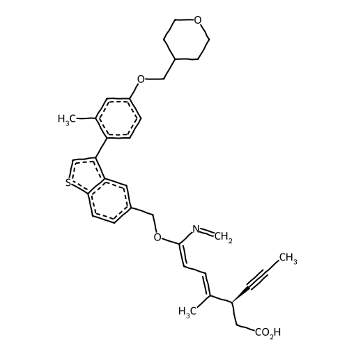 C=N/C(=C\C=C(/C)[C@@H](C#CC)CC(=O)O)OCc1ccc2scc(-c3ccc(OCC4CCOCC4)cc3C)c2c1